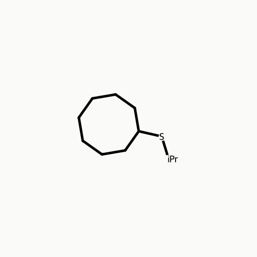 CC(C)SC1CCCCCCC1